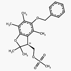 Cc1c(C)c2c(c(C)c1OCc1ccccc1)[C@@H](COS(C)(=O)=O)C(C)(C)O2